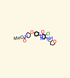 COC(=O)N1CCC(Oc2ccc(-n3ncc(NC[C@@H]4CCCOC4)c(Cl)c3=O)cc2)CC1